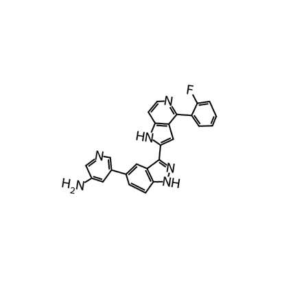 Nc1cncc(-c2ccc3[nH]nc(-c4cc5c(-c6ccccc6F)nccc5[nH]4)c3c2)c1